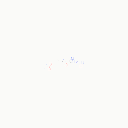 CC(=O)NC(C)(C)/C=C/n1ncc(C(=O)N[C@H]2C3CC4CC2C[C@](COC(N)=O)(C4)C3)c1C(C)C